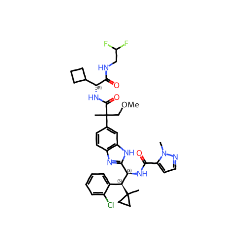 COCC(C)(C(=O)N[C@@H](C(=O)NCC(F)F)C1CCC1)c1ccc2nc([C@@H](NC(=O)c3ccnn3C)[C@H](c3ccccc3Cl)C3(C)CC3)[nH]c2c1